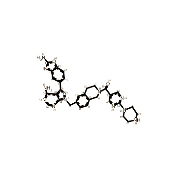 Nc1nc2cc(-c3nn(Cc4ccc5c(c4)CCN(C(=O)c4cnc(N6CCNCC6)nc4)C5)c4ncnc(N)c34)ccc2o1